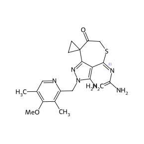 C=C(N)/N=C1/SCC(=O)C2(CC2)c2nn(Cc3ncc(C)c(OC)c3C)c(N)c21